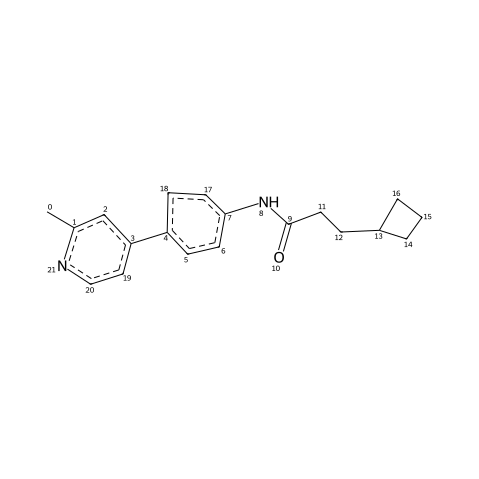 Cc1cc(-c2ccc(NC(=O)CCC3CCC3)cc2)ccn1